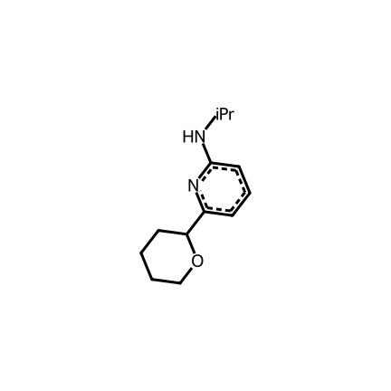 CC(C)Nc1cccc(C2CCCCO2)n1